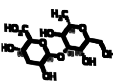 C[C@@H]1OC(CO)[C@H](O)[C@H](O[C@@H]2OC(C(=O)O)[C@@H](O)CC2O)C1O